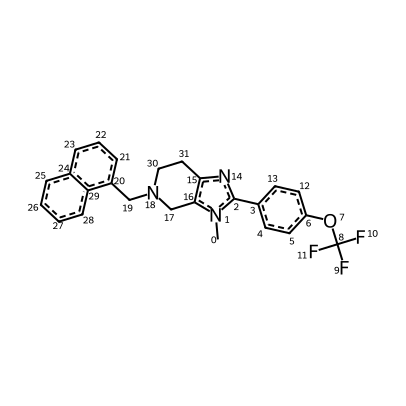 Cn1c(-c2ccc(OC(F)(F)F)cc2)nc2c1CN(Cc1cccc3ccccc13)CC2